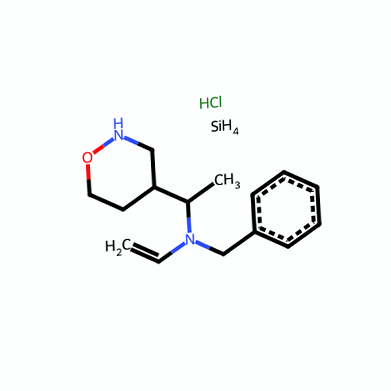 C=CN(Cc1ccccc1)C(C)C1CCONC1.Cl.[SiH4]